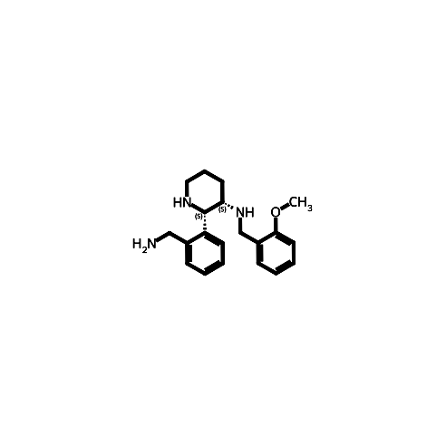 COc1ccccc1CN[C@H]1CCCN[C@H]1c1ccccc1CN